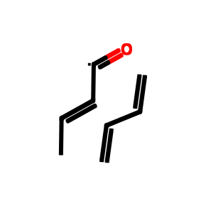 C=CC=C.CC=C[C]=O